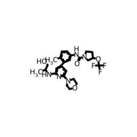 Cc1ccc(NC(=O)N2CCC(OC(F)(F)F)C2)cc1-c1cc(NC(C)CO)nc(N2CCOCC2)c1